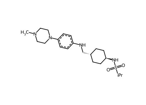 CC(C)S(=O)(=O)N[C@H]1CC[C@H](CNc2ccc(N3CCN(C)CC3)cc2)CC1